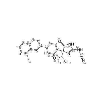 CC(C)C1(c2ccc(-c3ccc4cccc(F)c4c3)[nH]c2=O)N=C(NC#N)NC1=O